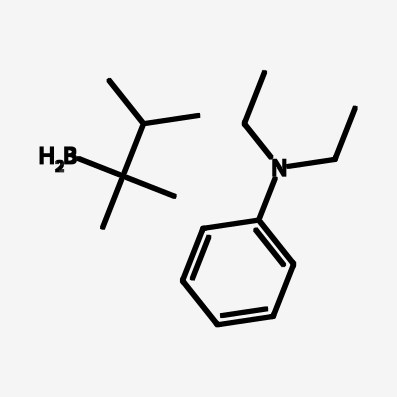 BC(C)(C)C(C)C.CCN(CC)c1ccccc1